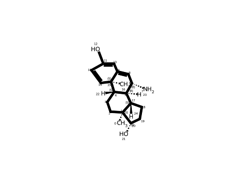 C[C@]12CC[C@H]3[C@@H]([C@@H](N)C=C4C=C(O)C=C[C@@]43C)[C@@H]1CC[C@@H]2O